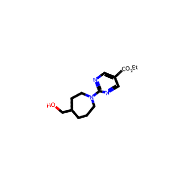 CCOC(=O)c1cnc(N2CCCC(CO)CC2)nc1